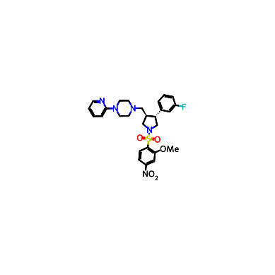 COc1cc([N+](=O)[O-])ccc1S(=O)(=O)N1C[C@@H](CN2CCN(c3ccccn3)CC2)[C@H](c2cccc(F)c2)C1